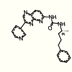 C[C@H](CCCc1ccccc1)NC(=O)Nc1ccc2ncc(-c3cccnc3)nc2n1